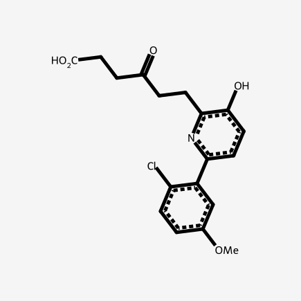 COc1ccc(Cl)c(-c2ccc(O)c(CCC(=O)CCC(=O)O)n2)c1